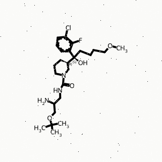 COCCCC[C@@](O)(c1cccc(Cl)c1F)[C@@H]1CCCN(C(=O)NCC(N)COC(C)(C)C)C1